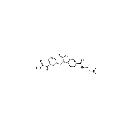 CN(C)CCNC(=O)c1ccc2c(c1)oc(=O)n2Cc1cccc(NC(=O)O)c1